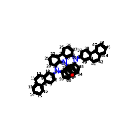 c1ccc(N(c2ccc3c(ccc4ccccc43)c2)c2cccc3c4cccc(N(c5ccccc5)c5ccc6c(ccc7ccccc76)c5)c4n(-c4ccccc4)c23)cc1